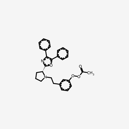 CC(=O)OOc1cccc(CCN2CCC[C@@H]2c2nc(-c3ccccc3)c(-c3ccccc3)o2)c1